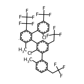 Cc1[c]cc(C(F)(F)C(F)(F)F)c(-c2cc(C(F)(F)F)ccc2Cl)c1-c1cc(CC(F)(F)F)cc(-c2cc(CC(F)(F)F)ccc2C)c1Cl